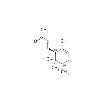 CC(=O)C=C[C@H]1C(C)=CC[C@H](C)C1(C)C